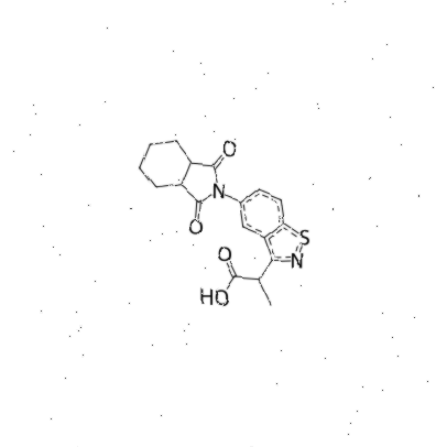 CC(C(=O)O)c1nsc2ccc(N3C(=O)C4CCCCC4C3=O)cc12